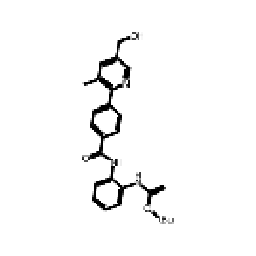 C=C(Nc1ccccc1NC(=O)c1ccc(-c2ncc(CO)cc2C)cc1)OC(C)(C)C